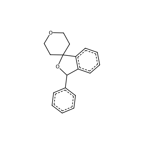 c1ccc(C2OC3(CCOCC3)c3ccccc32)cc1